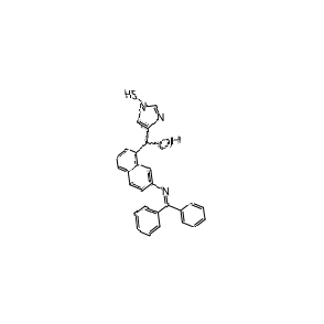 OC(c1cn(S)cn1)c1cccc2ccc(N=C(c3ccccc3)c3ccccc3)cc12